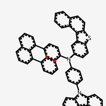 c1ccc(-c2cccc3cccc(-c4ccc(N(c5ccc(-n6c7ccccc7c7ccccc76)cc5)c5ccc6sc7ccc8ccccc8c7c6c5)cc4)c23)cc1